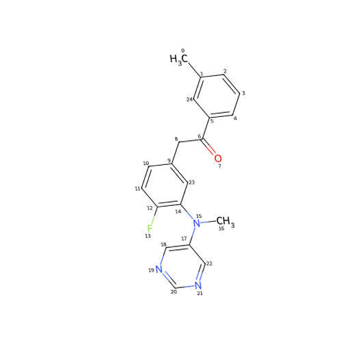 Cc1cccc(C(=O)Cc2ccc(F)c(N(C)c3cncnc3)c2)c1